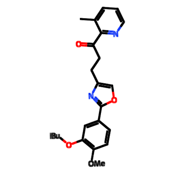 CCC(C)Oc1cc(-c2nc(CCC(=O)c3ncccc3C)co2)ccc1OC